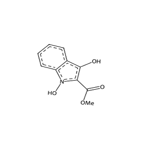 COC(=O)c1c(O)c2ccccc2n1O